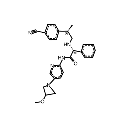 COC1CN(c2ccc(NC(=O)[C@H](NC[C@H](C)c3ccc(C#N)cc3)c3ccccc3)nc2)C1